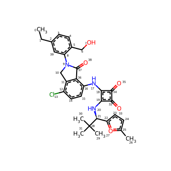 CCc1ccc(CO)c(N2Cc3c(Cl)ccc(Nc4c(N[C@@H](c5ccc(C)o5)C(C)(C)C)c(=O)c4=O)c3C2=O)c1